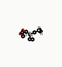 c1ccc2c(c1)Oc1c(-c3cc(-c4cccc5ccccc45)nc(-c4ccc(C56C[C@@H]7CC8C[C@H](C5)C8(C7)C6)cc4)n3)cccc1C21c2ccccc2-c2ccccc21